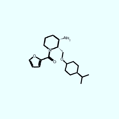 CC(C)C1CCC(OC[C@H]2[C@@H](N)CCCN2C(=O)c2ccco2)CC1